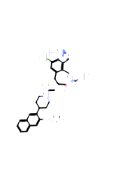 COc1cc2ccccc2cc1C1CCN(C(=O)C[C@@H]2Cc3cc(Cl)c4[nH]ncc4c3CN(CC(C)(C)C)C2=O)CC1